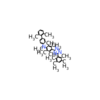 Cc1cc(C)c(C)c(-c2ncnc(-c3c(C)c(C)c(N(C)c4ccc(-c5c(C)cccc5C)cc4)c(C)c3C)n2)c1C